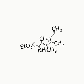 C=CCC(C)/C(C)=C(\C)C(=N)C(=O)OCC